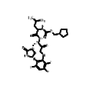 CC(C)CC(NC(=O)OCC1CCCC1)C(=O)N[C@@H](C[C@@H]1CCNC1=O)C(=O)COc1c(F)c(F)cc(F)c1F